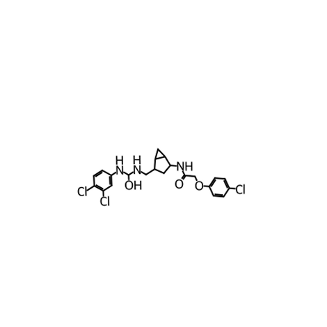 O=C(COc1ccc(Cl)cc1)NC1CC(CNC(O)Nc2ccc(Cl)c(Cl)c2)C2CC12